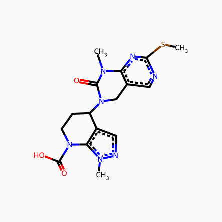 CSc1ncc2c(n1)N(C)C(=O)N(C1CCN(C(=O)O)c3c1cnn3C)C2